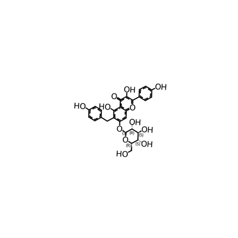 O=c1c(O)c(-c2ccc(O)cc2)oc2cc(O[C@@H]3O[C@H](CO)[C@@H](O)[C@H](O)[C@H]3O)c(Cc3ccc(O)cc3)c(O)c12